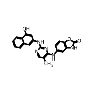 Cc1cnc(Nc2cc(O)c3ccccc3c2)nc1Nc1ccc2oc(=O)[nH]c2c1